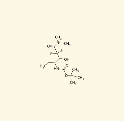 CCC(NC(=O)OC(C)(C)C)C(O)C(F)(F)C(=O)N(C)C